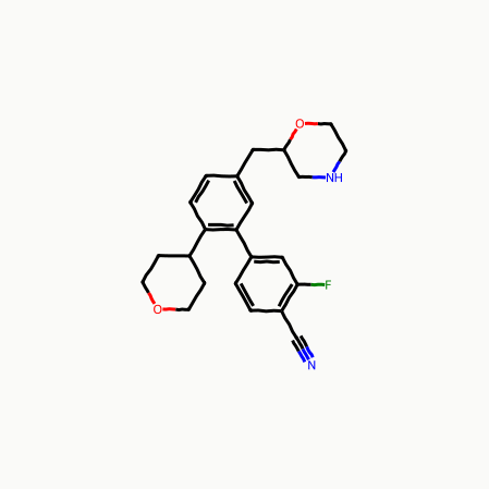 N#Cc1ccc(-c2cc(CC3CNCCO3)ccc2C2CCOCC2)cc1F